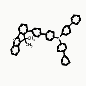 CC1(C)c2c(-c3ccc(-c4ccc(N(c5ccc(-c6ccccc6)cc5)c5ccc(-c6ccccc6)cc5)cc4)cc3)cccc2-c2sc3ccccc3c21